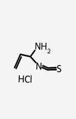 C=CC(N)N=C=S.Cl